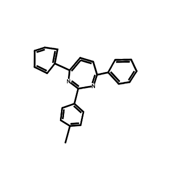 Cc1ccc(C2=NC(c3ccccc3)=C=CC(c3ccccc3)=N2)cc1